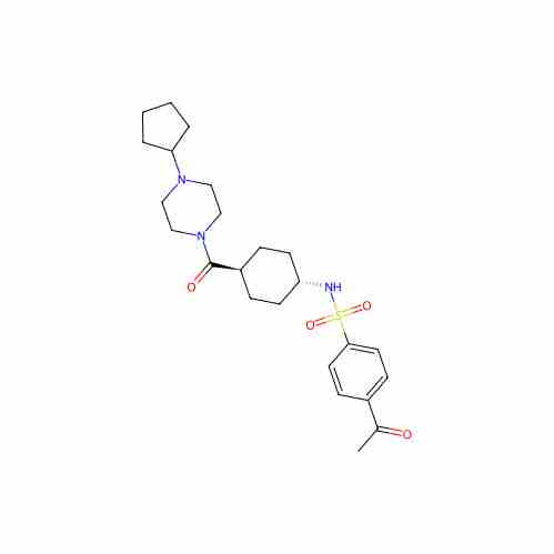 CC(=O)c1ccc(S(=O)(=O)N[C@H]2CC[C@H](C(=O)N3CCN(C4CCCC4)CC3)CC2)cc1